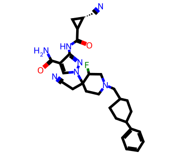 N#CCC1(n2cc(C(N)=O)c(NC(=O)C3C[C@@H]3C#N)n2)CCN(CC2CCC(c3ccccc3)CC2)CC1F